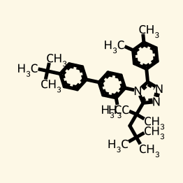 Cc1ccc(-c2nnc(C(C)(C)CC(C)(C)C)n2-c2ccc(-c3ccc(C(C)(C)C)cc3)cc2C)cc1C